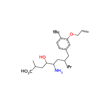 C=CCOc1cc(CC(CC(N)C(O)CC(C)C(=O)O)C(C)C)ccc1C(C)(C)C